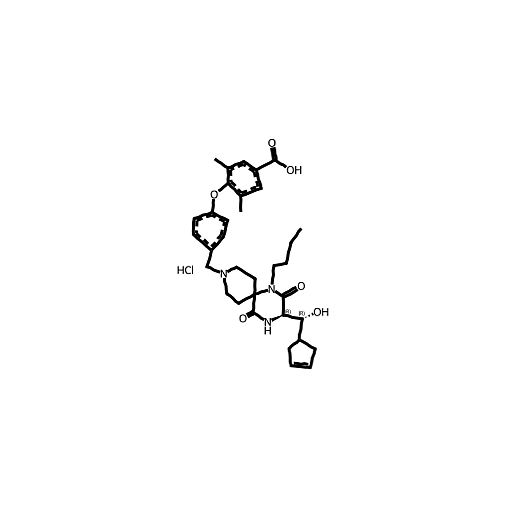 CCCCN1C(=O)[C@@H]([C@H](O)C2CC=CC2)NC(=O)C12CCN(Cc1ccc(Oc3c(C)cc(C(=O)O)cc3C)cc1)CC2.Cl